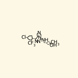 C[C@]1(O)C[C@@H](CNc2nnc(-c3ccc(Cl)cc3C(F)(F)F)c3cncn23)C1